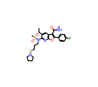 CCc1cc2c(C(=O)NC)c(-c3ccc(F)cc3)oc2nc1N(CCCSN1CCCC1)S(C)(=O)=O